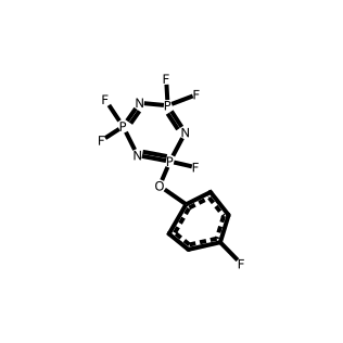 Fc1ccc(OP2(F)=NP(F)(F)=NP(F)(F)=N2)cc1